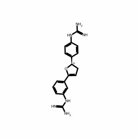 N=C(N)Nc1ccc([C@H]2CC=C(c3cccc(NC(=N)N)c3)O2)cc1